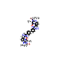 COC(=O)N[C@H](C(=O)N1[C@@H]2CC[C@@H](C2)[C@H]1c1ncc(-c2ccc(-c3ccc4[nH]c([C@@H]5[C@H]6CC[C@H](C6)N5C(=O)[C@@H](NC(=O)OC)C(C)C)nc4c3)cc2)[nH]1)C(C)C